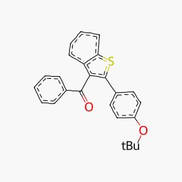 CC(C)(C)Oc1ccc(-c2sc3ccccc3c2C(=O)c2ccccc2)cc1